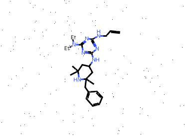 C=CCNc1nc(NC2CC(C)(C)NC(C)(Cc3ccccc3)C2)nc(N(CC)CC)n1